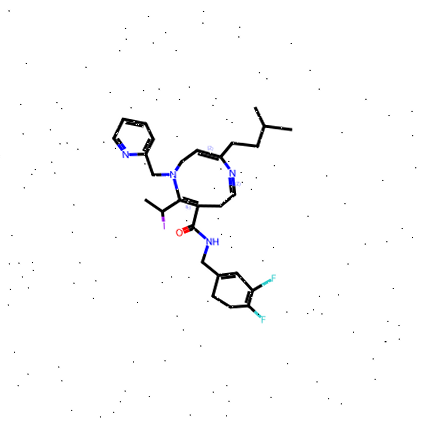 CC(C)CCC1=C/CN(Cc2ccccn2)/C(C(C)I)=C(/C(=O)NCC2=CC(F)=C(F)CC2)C/C=N\1